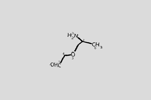 CC(N)OC[C]=O